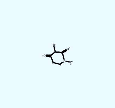 CC(C)N1CCC(=O)C(Br)C1=O